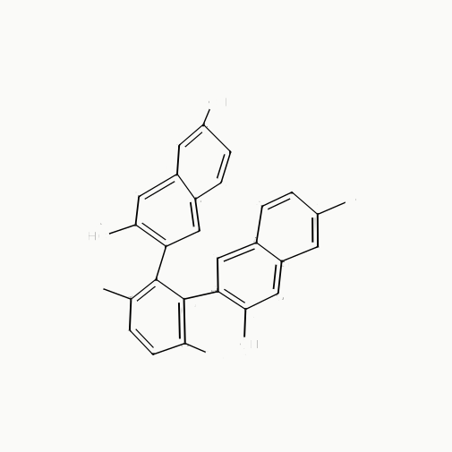 Oc1ccc2cc(-c3c(F)ccc(F)c3-c3cc4ccc(O)cc4cc3O)c(O)cc2c1